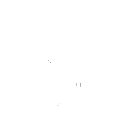 CC(c1cn(Cc2ccccc2)c2ccc(Br)cc12)C1CCCN1